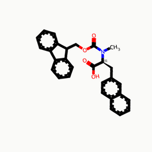 CN(C(=O)OCC1c2ccccc2-c2ccccc21)[C@@H](Cc1ccc2ccccc2c1)C(=O)O